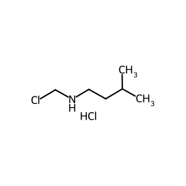 CC(C)CCNCCl.Cl